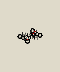 c1ccc(CC(Cc2ccccc2)(C2=N[C@H]3c4ccccc4C[C@H]3O2)C2=N[C@H]3c4ccccc4C[C@H]3O2)cc1